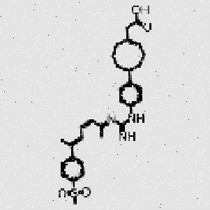 C\C(=C/C=C\C(C)=N\C(=N)Nc1ccc(C2CC/C=C(/CC(=O)O)CCC2)cc1)c1ccc(S(C)(=O)=O)cc1